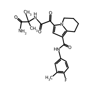 Cc1cc(NC(=O)c2cc(C(=O)C(=O)NC(C)(C)C(N)=O)n3c2CCCC3)ccc1F